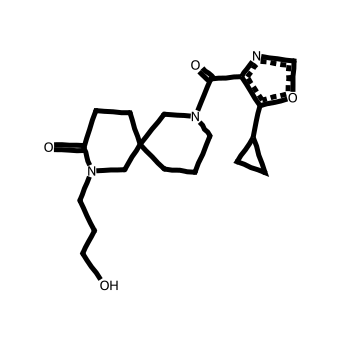 O=C1CCC2(CCCN(C(=O)c3ncoc3C3CC3)C2)CN1CCCO